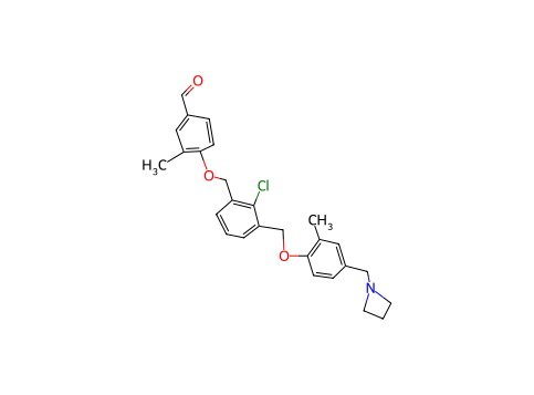 Cc1cc(C=O)ccc1OCc1cccc(COc2ccc(CN3CCC3)cc2C)c1Cl